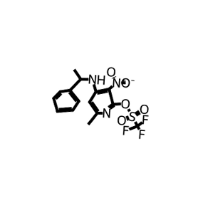 Cc1cc(NC(C)c2ccccc2)c([N+](=O)[O-])c(OS(=O)(=O)C(F)(F)F)n1